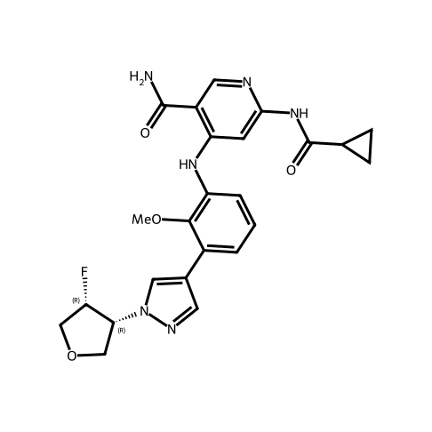 COc1c(Nc2cc(NC(=O)C3CC3)ncc2C(N)=O)cccc1-c1cnn([C@@H]2COC[C@@H]2F)c1